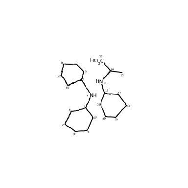 C1CCC(NC2CCCCC2)CC1.CC(NC1CCCCC1)C(=O)O